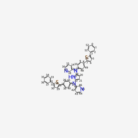 c1ccc(-c2ccc(-c3ccc(N(c4cccnc4)c4ccc(N(c5ccc(-c6ccc(-c7ccccc7)s6)cc5)c5cccnc5)[nH]4)cc3)s2)cc1